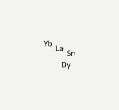 [Dy].[La].[Sr].[Yb]